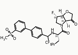 CC(C)C[C@H](NC(c1ccc(-c2cccc(S(C)(=O)=O)c2)cc1)C(F)(F)F)C(=O)N1C[C@H](F)[C@H]2OCC(=O)[C@H]21